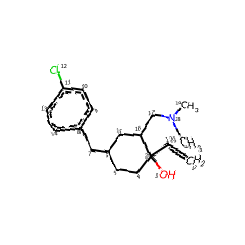 C=CC1(O)CCC(Cc2ccc(Cl)cc2)CC1CN(C)C